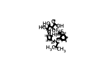 CC(C)CN(Cc1ccccc1C(F)(F)F)C[C@@H]1CCNC1.O=C(O)C(O)C(O)C(=O)O